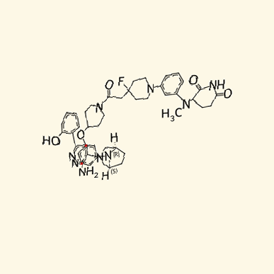 CN(c1cccc(N2CCC(F)(CC(=O)N3CCC(Oc4cccc(N5[C@@H]6CC[C@H]5CN(c5cc(-c7ccccc7O)nnc5N)C6)c4)CC3)CC2)c1)C1CCC(=O)NC1=O